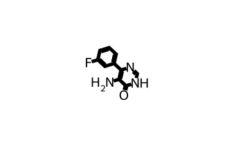 Nc1c(-c2cccc(F)c2)nc[nH]c1=O